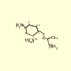 Cl.NC(=O)OCC1CCC(N)CC1